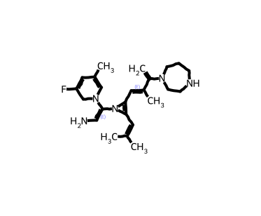 C=C(/C(C)=C/C1=C(C=C(C)C)N1/C(=C/N)N1C=C(C)C=C(F)C1)N1CCCNCC1